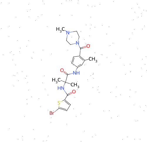 Cc1cc(NC(=O)C(C)(C)NC(=O)c2ccc(Br)s2)ccc1C(=O)N1CCN(C)CC1